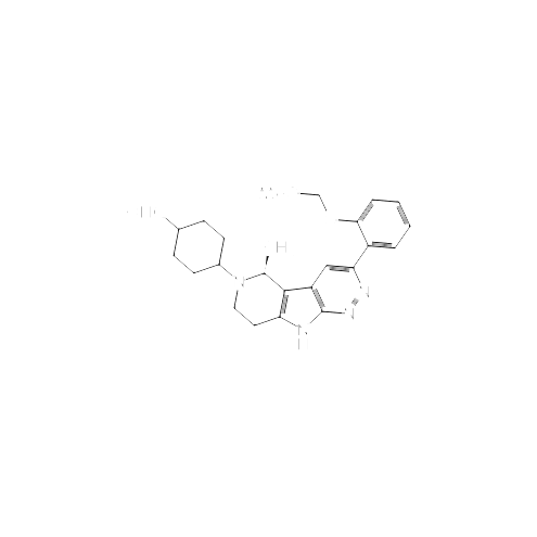 COCOc1ccccc1-c1cc2c3c([nH]c2nn1)CCN(C1CCC(C=O)CC1)[C@H]3C